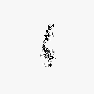 Cc1ncsc1-c1ccc([C@H](C)NC(=O)[C@@H]2C[C@@H](O)CN2C(=O)[C@@H](NC(=O)CN2CCN(CCCOCc3cc(C(=O)N[C@@H](C)Cn4ccc(-c5ccc(C#N)c(Cl)n5)n4)n[nH]3)CC2)C(C)(C)C)cc1